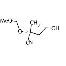 COCOC(C)(C#N)CCO